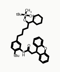 CC(C)(C)c1ccc(CCCCC(O[Si](C)(C)C(C)(C)C)C2CCCCC2)cc1NC(=O)CC1c2ccccc2Oc2ccccc21